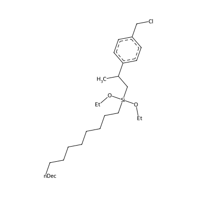 CCCCCCCCCCCCCCCCCC[Si](CC(C)c1ccc(CCl)cc1)(OCC)OCC